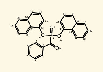 O=C(c1ccccc1)P(=O)(Oc1cccc2ccccc12)Oc1cccc2ccccc12